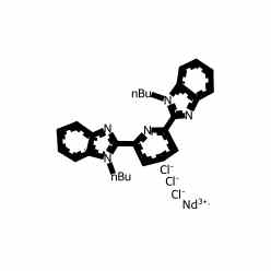 CCCCn1c(-c2cccc(-c3nc4ccccc4n3CCCC)n2)nc2ccccc21.[Cl-].[Cl-].[Cl-].[Nd+3]